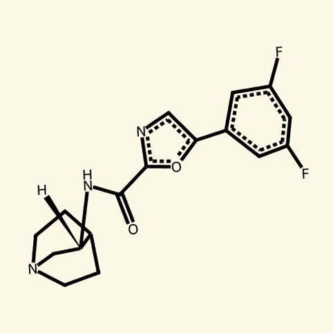 O=C(N[C@H]1CN2CCC1CC2)c1ncc(-c2cc(F)cc(F)c2)o1